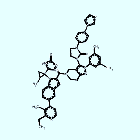 CCc1nccc(-c2ccc3c(c2)cc(C(=O)N2CCc4nn(-c5cc(C)cc(C)c5)c(N5CCN(c6ccc(-n7ccnc7)cc6)C5=O)c4C2)n3[C@@]2(c3noc(=O)[nH]3)C[C@@H]2C)c1C